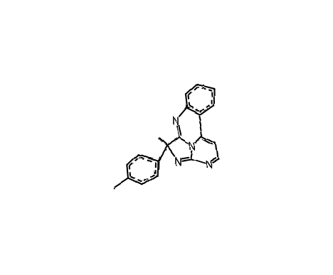 Cc1ccc(C2(C)N=C3N=CC=C4c5ccccc5N=C2N43)cc1